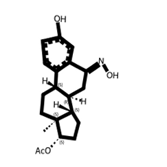 CC(=O)O[C@H]1CC[C@H]2[C@@H]3CC(=NO)c4cc(O)ccc4[C@H]3CC[C@]12C